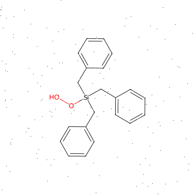 OO[Si](Cc1ccccc1)(Cc1ccccc1)Cc1ccccc1